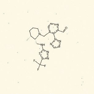 C[C@@H]1CCCN(Cc2ccnc(C=O)c2-n2nccn2)[C@@H]1CNc1nnc(C(F)(F)F)s1